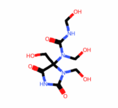 O=C(NCO)N(CO)C1(CO)C(=O)NC(=O)N1CO